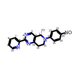 C[C@H]1c2cnc(-c3ccccn3)nc2CCN1c1ccc(N=O)cc1